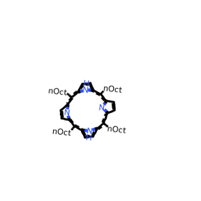 CCCCCCCCc1c2nc(c(CCCCCCCC)c3ccc([nH]3)c(CCCCCCCC)c3nc(c(CCCCCCCC)c4ccc1[nH]4)C=C3)C=C2